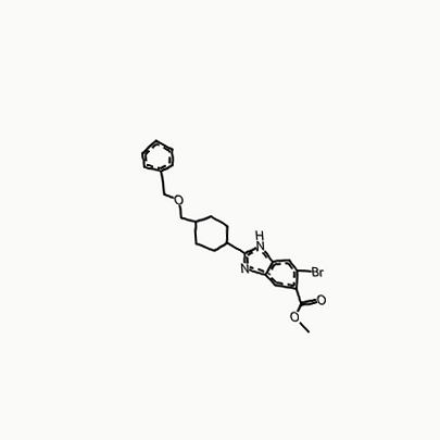 COC(=O)c1cc2nc(C3CCC(COCc4ccccc4)CC3)[nH]c2cc1Br